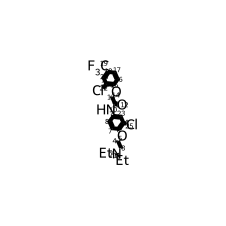 CCN(CC)CCOc1ccc(NC(=O)COc2ccc(C(F)(F)F)cc2Cl)cc1Cl